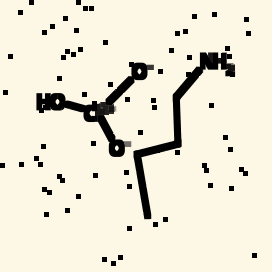 CCCCN.[O-][Cl+2]([O-])O